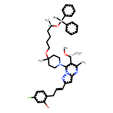 CCOC(=O)[C@@H](OC(C)(C)C)c1c(C)nc2cc(C=CCc3ccc(F)cc3Br)nn2c1N1CCC(C)(OCCCC[C@@H](C)O[Si](c2ccccc2)(c2ccccc2)C(C)(C)C)CC1